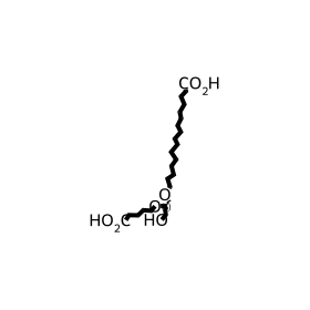 O=C(O)CCCCCCCCCCCCCCCOC[C@H](CO)OCCCCC(=O)O